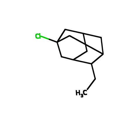 CCC1C2CC3CC1CC(Cl)(C3)C2